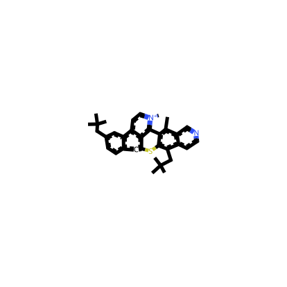 Cc1c2c(c(CC(C)(C)C)c3ccncc13)Sc1cc3ccc(CC(C)(C)C)cc3c3cc[n+](C)c-2c13